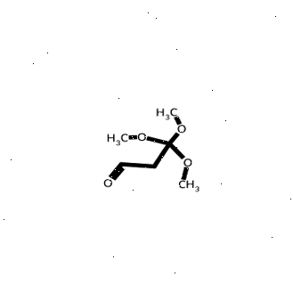 COC(CC=O)(OC)OC